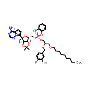 CCCCCCCCCCCCCCCCCCOC[C@H](COP(=O)(OC[C@H]1O[C@@](C)(c2ccc3c(N)ncnn23)[C@@H]2OC(C)(C)O[C@@H]21)Oc1ccccc1Cl)OCc1ccc(F)c(C#N)c1